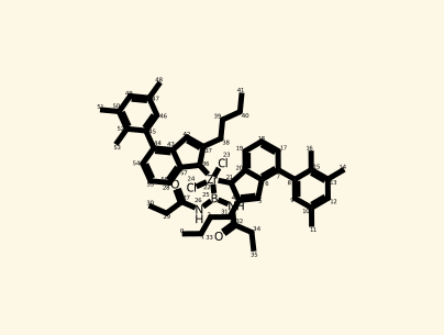 CCCCC1=Cc2c(-c3cc(C)cc(C)c3C)cccc2[CH]1[Zr]([Cl])([Cl])([B](NC(=O)CC)NC(=O)CC)[CH]1C(CCCC)=Cc2c(-c3cc(C)cc(C)c3C)cccc21